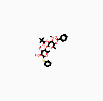 COC1C(O)C(Sc2ccccc2)OC(C)C1OC1OC(C)C(OC(=O)c2ccccc2)C(OC)C1OC(=O)C(C)(C)C